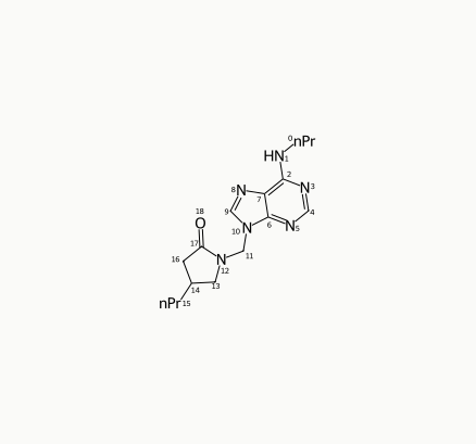 CCCNc1ncnc2c1ncn2CN1CC(CCC)CC1=O